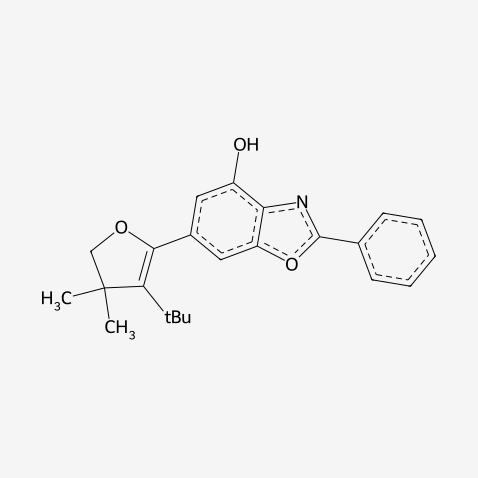 CC(C)(C)C1=C(c2cc(O)c3nc(-c4ccccc4)oc3c2)OCC1(C)C